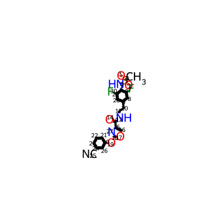 CS(=O)(=O)Nc1c(F)cc(CCNC(=O)c2coc(Oc3cccc(C#N)c3)n2)cc1F